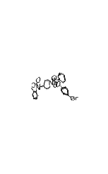 O=C1OCc2ccccc2N1C1CCN(S(=O)(=O)C2(Oc3ccc(Br)cc3)C=CC=CC2)CC1